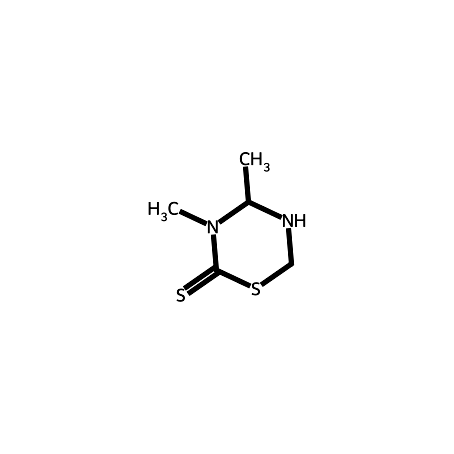 CC1NCSC(=S)N1C